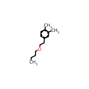 CCCCOCCc1ccc(C)c(C)c1